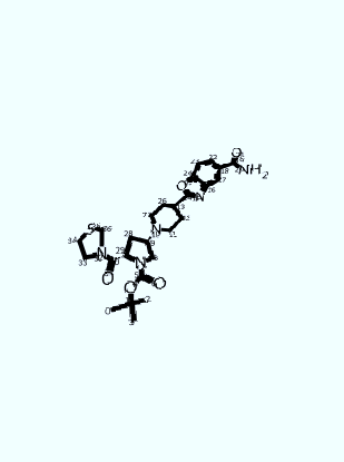 CC(C)(C)OC(=O)N1C[C@@H](N2CCC(c3nc4cc(C(N)=O)ccc4o3)CC2)C[C@H]1C(=O)N1CCSC1